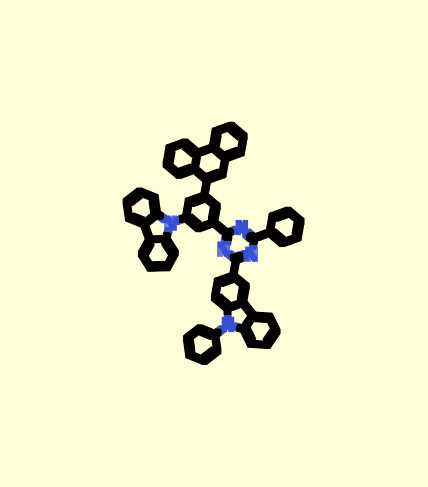 c1ccc(-c2nc(-c3cc(-c4cc5ccccc5c5ccccc45)cc(-n4c5ccccc5c5ccccc54)c3)nc(-c3ccc4c(c3)c3ccccc3n4-c3ccccc3)n2)cc1